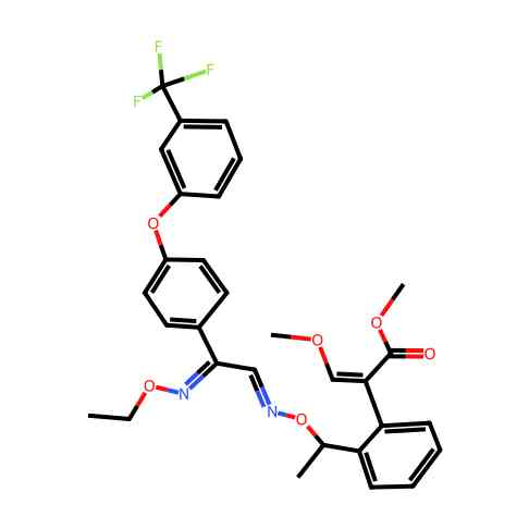 CCON=C(C=NOC(C)c1ccccc1C(=COC)C(=O)OC)c1ccc(Oc2cccc(C(F)(F)F)c2)cc1